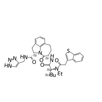 CC[C@H](C)[C@@H](C(=O)N[C@H]1CCc2cccc3c2N(C1=O)[C@H](C(=O)NCc1c[nH]nn1)C3)N(CC)C(=O)Cc1csc2ccccc12